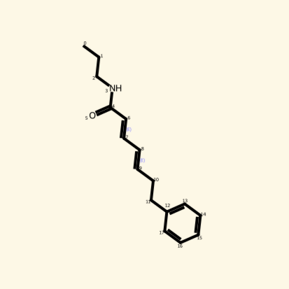 CCCNC(=O)/C=C/C=C/CCc1ccccc1